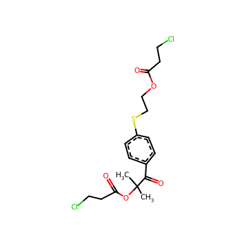 CC(C)(OC(=O)CCCl)C(=O)c1ccc(SCCOC(=O)CCCl)cc1